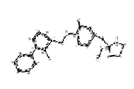 Cc1cc(C[C@]2(CO)CCCN2)ccc1OCc1cccc(-c2ccccc2)c1C